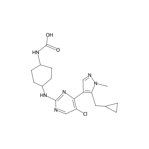 Cn1ncc(-c2nc(NC3CCC(NC(=O)O)CC3)ncc2Cl)c1CC1CC1